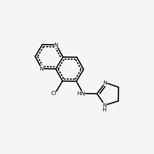 Clc1c(NC2=NCCN2)ccc2nccnc12